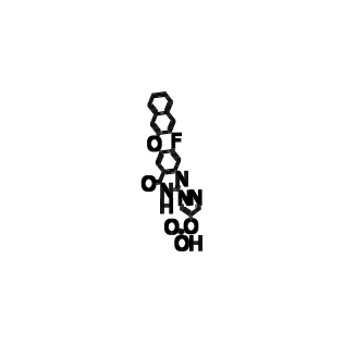 O=C(O)Oc1cnn(-c2nc3cc(F)c(Oc4ccc5ccccc5c4)cc3c(=O)[nH]2)c1